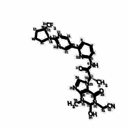 C[C@@H](C(=O)Nc1cccc(-c2cnc(N3CCC[C@H]3C(F)(F)F)nc2)n1)n1cnc2c1C(=O)N(CC#N)C(O)N2C